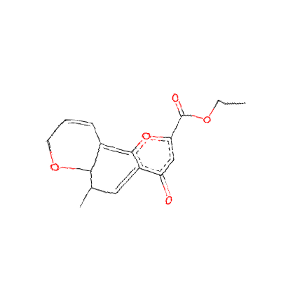 CCOC(=O)c1cc(=O)c2c(o1)=C1C=CCOC1C(C)C=2